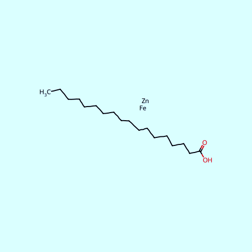 CCCCCCCCCCCCCCCCCC(=O)O.[Fe].[Zn]